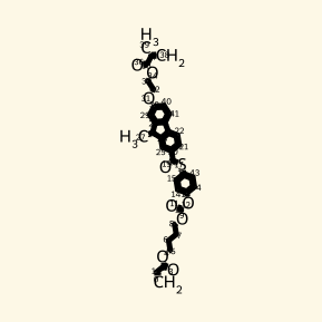 C=CC(=O)OCCCCOC(=O)Oc1ccc(SC(=O)c2ccc3c(c2)C(C)c2cc(OCCOC(=O)C(=C)C)ccc2-3)cc1